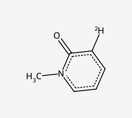 [2H]c1cccn(C)c1=O